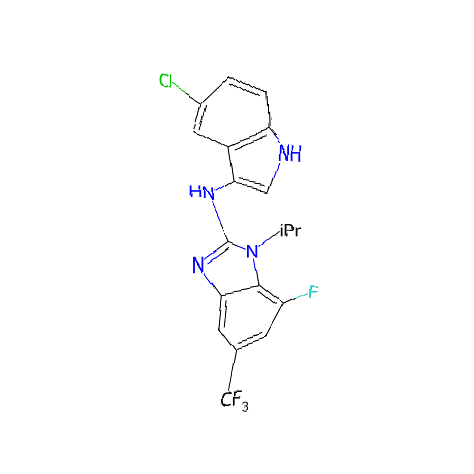 CC(C)n1c(Nc2c[nH]c3ccc(Cl)cc23)nc2cc(C(F)(F)F)cc(F)c21